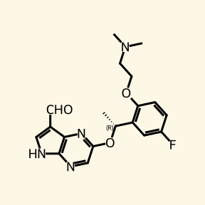 C[C@@H](Oc1cnc2[nH]cc(C=O)c2n1)c1cc(F)ccc1OCCN(C)C